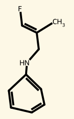 CC(=CF)CNc1ccccc1